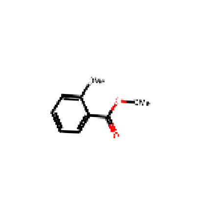 [CH2]OOC(=O)c1ccccc1OC